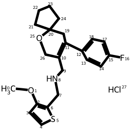 COc1ccsc1CNCC1=C(c2ccc(F)cc2)CC2(CCCC2)OC1.Cl